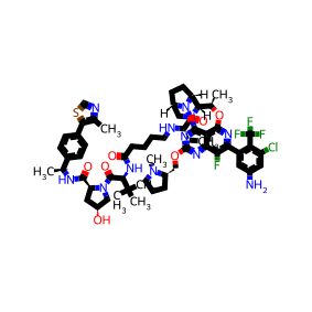 CC[C@H](NCCCCC(=O)N[C@H](C(=O)N1C[C@H](O)C[C@H]1C(=O)N[C@@H](C)c1ccc(-c2scnc2C)cc1)C(C)(C)C)C(=O)N1[C@@H]2CC[C@H]1[C@H]1[C@H](C)Oc3nc(-c4cc(N)cc(Cl)c4C(F)(F)F)c(F)c4nc(OC[C@@H]5CCCN5C)nc(c34)N1C2